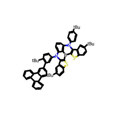 CC(C)(C)c1ccc(N2c3cccc4c3B(c3sc5ccc(C(C)(C)C)cc5c32)c2sc3ccc(C(C)(C)C)cc3c2N4c2ccc(C(C)(C)C)c(-c3ccc4c5ccccc5c5ccccc5c4c3)c2)cc1